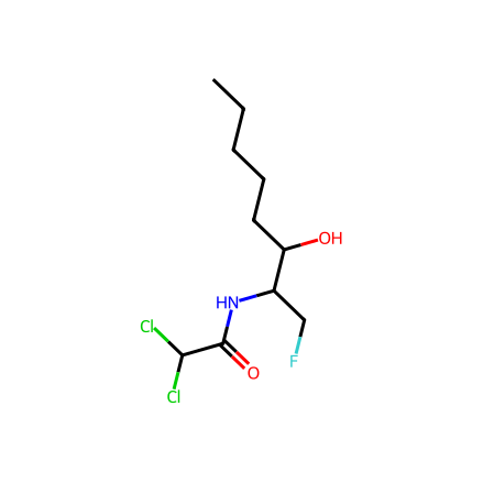 CCCCCC(O)C(CF)NC(=O)C(Cl)Cl